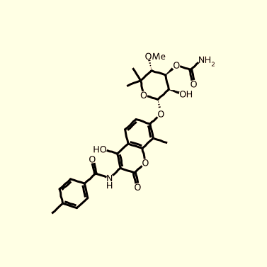 CO[C@@H]1[C@@H](OC(N)=O)[C@@H](O)[C@H](Oc2ccc3c(O)c(NC(=O)c4ccc(C)cc4)c(=O)oc3c2C)OC1(C)C